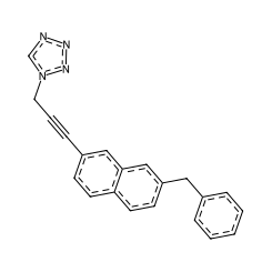 C(#Cc1ccc2ccc(Cc3ccccc3)cc2c1)Cn1cnnn1